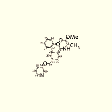 COC(=O)C(C)NC(=O)c1ccc(COc2cccnc2)cc1-c1ccccc1